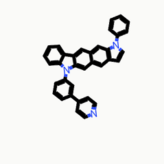 c1ccc(-n2ccc3cc4cc5c(cc4cc32)c2ccccc2n5-c2cccc(-c3ccncc3)c2)cc1